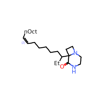 CCCCCCCC/C=C\CCCCCC(CC)C12CCN1CCNC2=O